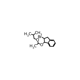 CC(C)COC(C)OC1c2ccccc2CC1Br